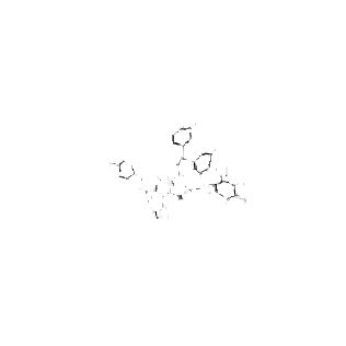 C=C(N)CN(CCc1ccc(Cl)cc1)C(=O)CC(NCCC(c1ccccc1)c1ccccc1)C(=O)NCCc1ccc(I)cc1Cl